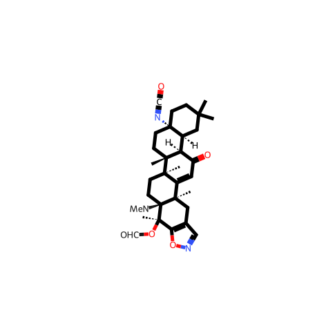 CN[C@@]12CC[C@]3(C)C(=CC(=O)[C@@H]4[C@@H]5CC(C)(C)CC[C@]5(N=C=O)CC[C@]43C)[C@@]1(C)Cc1cnoc1[C@@]2(C)OC=O